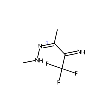 CN/N=C(/C)C(=N)C(F)(F)F